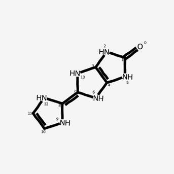 O=c1[nH]c2c([nH]1)NC(=C1NC=CN1)N2